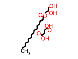 CCCCCCCCCCCCCC=CC(=O)OCC(O)CO.O=C(O)CCC(=O)O